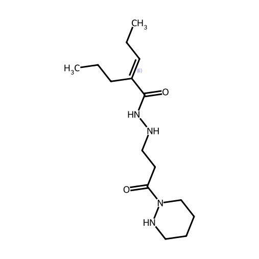 CC/C=C(\CCC)C(=O)NNCCC(=O)N1CCCCN1